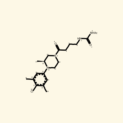 CC(=O)NC(=O)NCCCC(=O)N1CCN(c2cc(C)c(Cl)c(C)c2)[C@@H](C)C1